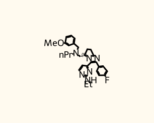 CCCN(Cc1cccc(OC)c1)C[C@@H]1CCc2nc(-c3ccc(F)cc3)c(-c3ccnc(NCC)n3)n21